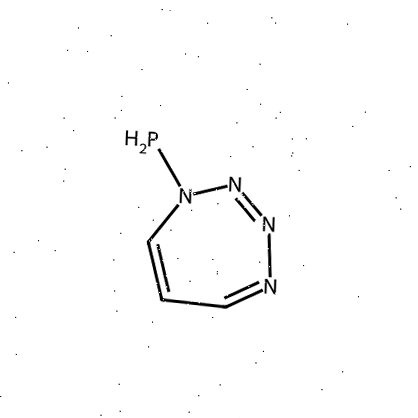 PN1C=CC=NN=N1